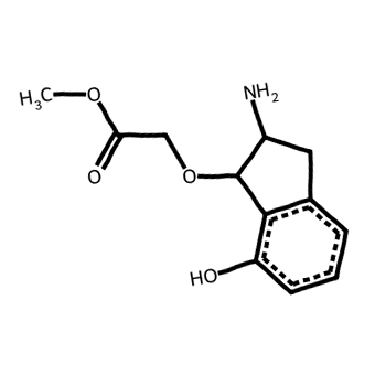 COC(=O)COC1c2c(O)cccc2CC1N